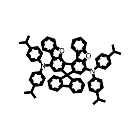 CC(C)c1ccc(N(c2ccc(C(C)C)cc2)c2cc3c(c4c2oc2ccccc24)-c2c(cc(N(c4ccc(C(C)C)cc4)c4ccc(C(C)C)cc4)c4c2oc2ccccc24)C32c3ccccc3-c3ccccc32)cc1